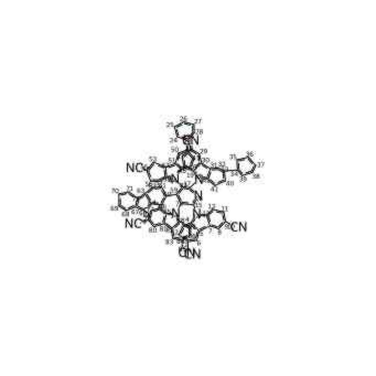 N#Cc1ccc2c(c1)c1cc(C#N)ccc1n2-c1nc(-n2c3ccc(-c4ccccc4)cc3c3cc(-c4ccccc4)ccc32)c(-n2c3ccc(C#N)cc3c3cc(C#N)ccc32)c(-c2ccc3c(c2)sc2ccccc23)c1-n1c2ccc(C#N)cc2c2cc(C#N)ccc21